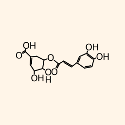 O=C(C=Cc1ccc(O)c(O)c1)OC1CC(C(=O)O)=CC(O)C1O